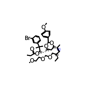 CCC(=O)O[C@@H](C[C@H]1C[C@@H](/C(C)=C\[C@@H](CC)COCOCCOC)OC(c2ccc(OC)cc2)O1)C(C)(C)c1cccc(Br)c1